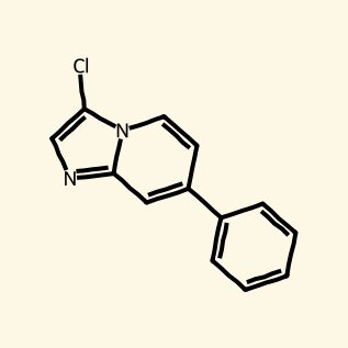 Clc1cnc2cc(-c3ccccc3)ccn12